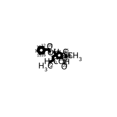 C=C1C(CCCC)(COC(=O)c2ccccc2)CCC1(OC=O)O[SiH](C)C